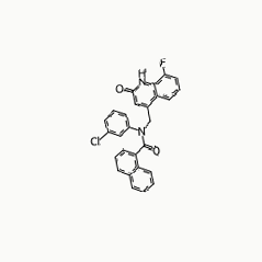 O=C(c1cccc2ccccc12)N(Cc1cc(=O)[nH]c2c(F)cccc12)c1cccc(Cl)c1